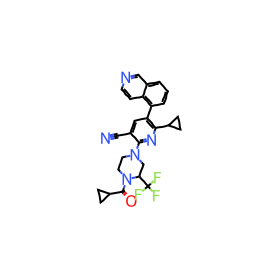 N#Cc1cc(-c2cccc3cnccc23)c(C2CC2)nc1N1CCN(C(=O)C2CC2)C(C(F)(F)F)C1